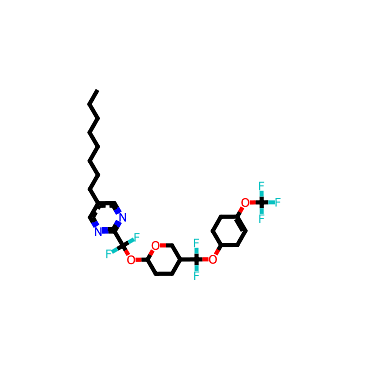 CCCCCCCCc1cnc(C(F)(F)OC2CCC(C(F)(F)OC3CC=C(OC(F)(F)F)CC3)CO2)nc1